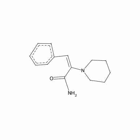 NC(=O)/C(=C\c1ccccc1)N1CCCCC1